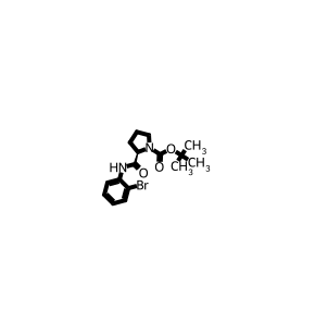 CC(C)(C)OC(=O)N1CCC[C@@H]1C(=O)Nc1ccccc1Br